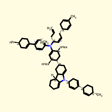 C=CC[C@H](/C=C\C[C@H]1C=CC(C)=CC1)N(C(=C)/C=C\C(=C/C)C1=CC[C@@H](CCC)CC1)C1=C[C@H](CCCCCC)C([C@@H]2CC=C3C(C2)[C@H]2CCCC=C2N3[C@H]2C=CC([C@H]3C=C[C@@H](C)CC3)=CC2)C[C@@H]1CCCCCC